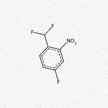 O=[N+]([O-])c1cc(F)ccc1C(F)F